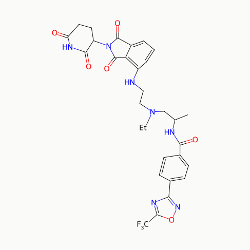 CCN(CCNc1cccc2c1C(=O)N(C1CCC(=O)NC1=O)C2=O)CC(C)NC(=O)c1ccc(-c2noc(C(F)(F)F)n2)cc1